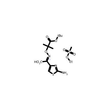 CC(C)(C)OC(=O)C(C)(C)O/N=C(\C(=O)O)c1csc(N)n1.CCOS(C)(=O)=O